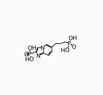 O=P(O)(O)CCCc1ccc2nc(P(=O)(O)O)cn2c1